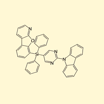 c1ccc([Si](c2ccccc2)(c2cnc(-n3c4ccccc4c4ccccc43)nc2)c2cccc3c2oc2ncccc23)cc1